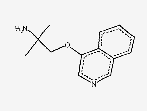 CC(C)(N)COc1cncc2ccccc12